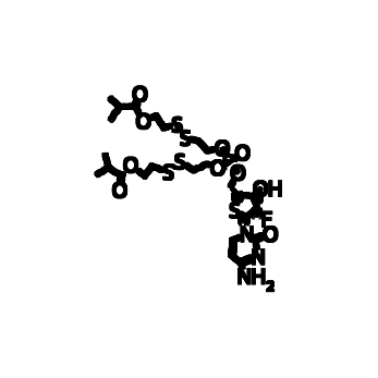 CC(C)C(=O)OCCSSCCOP(=O)(OCCSSCCOC(=O)C(C)C)OC[C@H]1S[C@@H](n2ccc(N)nc2=O)[C@@H](F)[C@@H]1O